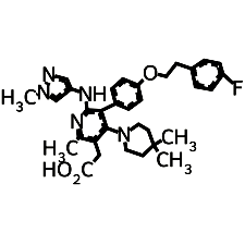 Cc1nc(Nc2cnn(C)c2)c(-c2ccc(OCCc3ccc(F)cc3)cc2)c(N2CCC(C)(C)CC2)c1CC(=O)O